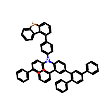 c1ccc(-c2ccc(N(c3ccc(-c4cccc5sc6ccccc6c45)cc3)c3ccc(-c4cc(-c5ccccc5)ccc4-c4ccccc4)cc3-c3ccccc3)cc2)cc1